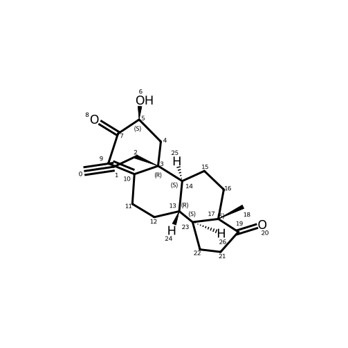 C#CC[C@]12C[C@H](O)C(=O)C=C1CC[C@@H]1[C@@H]2CC[C@]2(C)C(=O)CC[C@@H]12